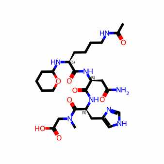 CC(=O)NCCCC[C@H](NC1CCCCO1)C(=O)N[C@@H](CC(N)=O)C(=O)N[C@@H](Cc1c[nH]cn1)C(=O)N(C)CC(=O)O